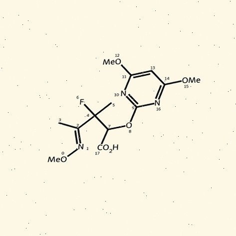 CON=C(C)C(C)(F)C(Oc1nc(OC)cc(OC)n1)C(=O)O